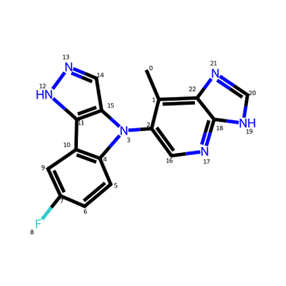 Cc1c(-n2c3ccc(F)cc3c3[nH]ncc32)cnc2[nH]cnc12